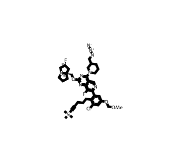 COCOc1cc(Cl)c(CCCC#C[Si](C)(C)C)c(-c2ncc3c(N4CCCC(CN=[N+]=[N-])C4)nc(OC[C@@]45CCCN4C[C@H](F)C5)nc3c2F)c1